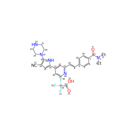 CCN(CC)C(=O)c1ccc(C=Cc2cc(-c3cc(C#N)c(N4CCNCC4)[nH]3)ccn2)cc1.O=C(O)C(F)(F)F